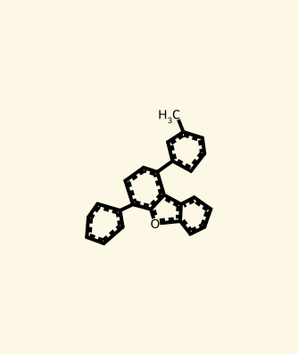 Cc1cccc(-c2ccc(-c3ccccc3)c3oc4ccccc4c23)c1